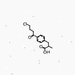 CC(Cc1ccc(C(=O)CCCCl)cc1)C(=O)O